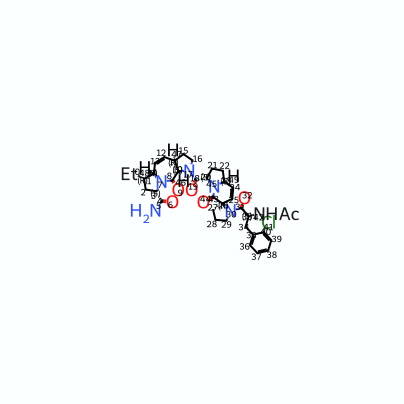 CC[C@@H]1C[C@@H](C(N)=O)N2C(=O)[C@@H]3[C@@H](C=C[C@@H]12)CCN3C(=O)[C@@H]1CC[C@H]2C=C[C@]3(CCCN3C(=O)[C@H](Cc3ccccc3Cl)NC(C)=O)C(=O)N21